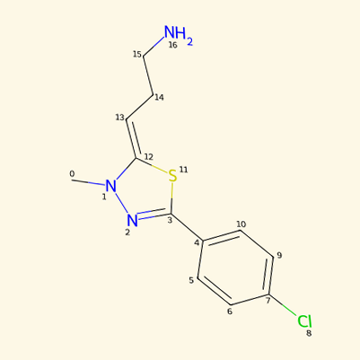 CN1N=C(c2ccc(Cl)cc2)SC1=CCCN